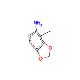 Cc1c(N)ccc2c1OCO2